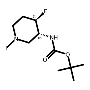 CC(C)(C)OC(=O)N[C@@H]1CN(I)CC[C@H]1F